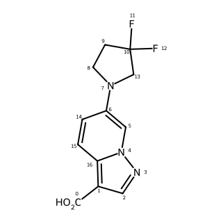 O=C(O)c1cnn2cc(N3CCC(F)(F)C3)ccc12